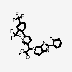 COC(=O)C(c1ccc(-c2ccc(C(F)(F)F)cc2C(F)(F)F)nn1)n1ccc2nc(-c3ccccc3F)nc-2c1